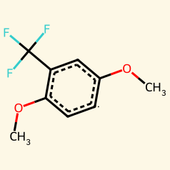 COc1[c]cc(OC)c(C(F)(F)F)c1